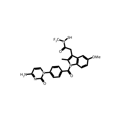 COc1ccc2c(c1)c(CC(=O)N(S)C(F)(F)F)c(C)n2C(=O)c1ccc(-n2ccc(N)nc2=O)cc1